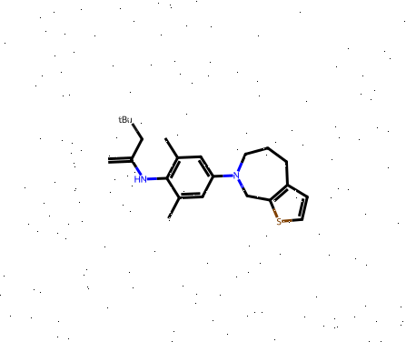 C=C(CC(C)(C)C)Nc1c(C)cc(N2CCCc3ccsc3C2)cc1C